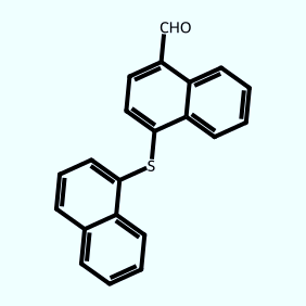 O=Cc1ccc(Sc2cccc3ccccc23)c2ccccc12